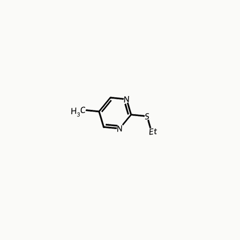 CCSc1ncc(C)cn1